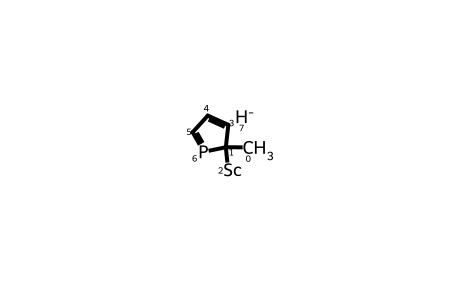 C[C]1([Sc])C=CC=P1.[H-]